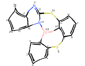 c1ccc2c(c1)Sc1cccc3c1B2n1c(nc2ccccc21)S3